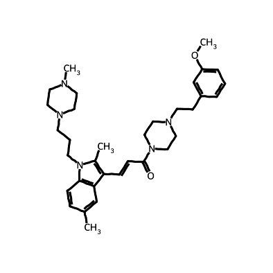 COc1cccc(CCN2CCN(C(=O)/C=C/c3c(C)n(CCCN4CCN(C)CC4)c4ccc(C)cc34)CC2)c1